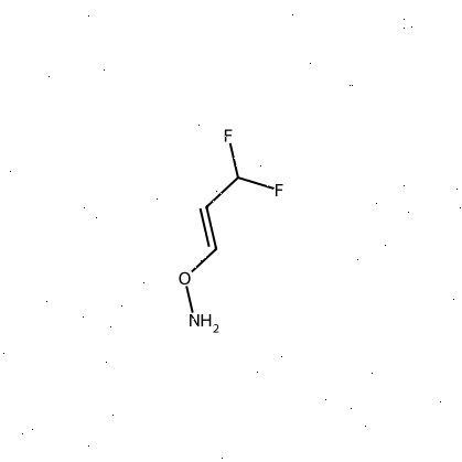 NOC=CC(F)F